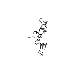 CC(C)=CCn1c(N2CCCC(NC(=O)OC(C)(C)C)C2)nc2c1c(=O)n(Cc1nn(C)c3ccccc13)c(=O)n2C